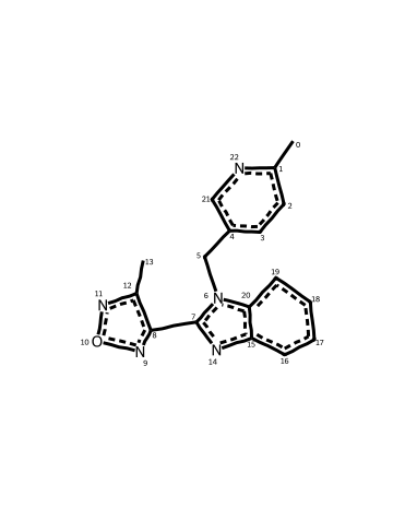 Cc1ccc(Cn2c(-c3nonc3C)nc3ccccc32)cn1